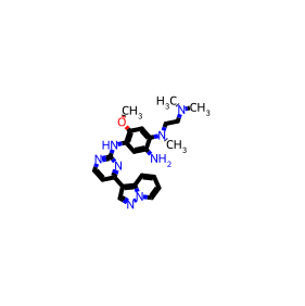 COc1cc(N(C)CCN(C)C)c(N)cc1Nc1nccc(-c2cnn3ccccc23)n1